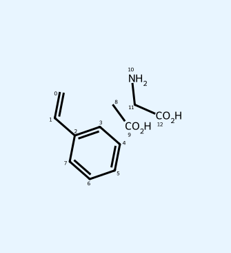 C=Cc1ccccc1.CC(=O)O.NCC(=O)O